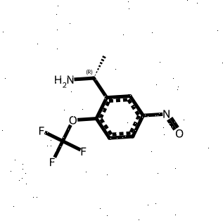 C[C@@H](N)c1cc(N=O)ccc1OC(F)(F)F